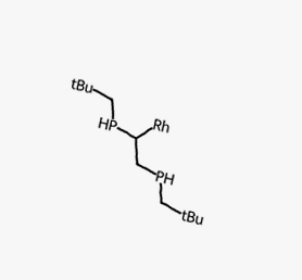 CC(C)(C)CPC[CH]([Rh])PCC(C)(C)C